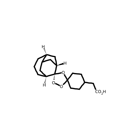 O=C(O)CC1CCC2(CC1)OO[C@@]1(O2)[C@@H]2CC3C[C@@H]1CCC[C@H]3C2